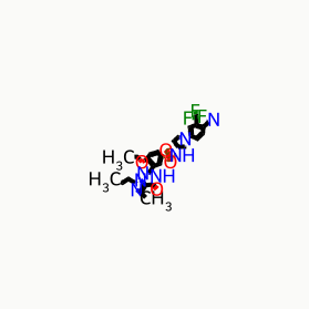 CCCc1nc(C)c2c(=O)[nH]c(-c3cc(S(=O)(=O)NC4CCN(c5ccc(C#N)c(C(F)(F)F)c5)C4)ccc3OCC)nn12